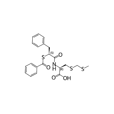 CSCSC[C@H](NC(=O)[C@H](Cc1ccccc1)SC(=O)c1ccccc1)C(=O)O